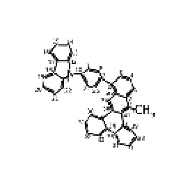 Cc1c2cccc(-c3ccc(-n4c5ccccc5c5ccccc54)cc3)c2cc2c3ccccc3c3ccccc3c12